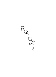 COCCCC(=O)NC1CCC(CCN2CCN(c3ccccc3F)CC2)CC1